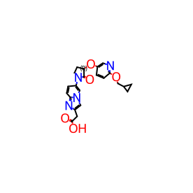 O=C(O)Cc1cn2cc(N3CC[C@@H](Oc4ccc(OCC5CC5)nc4)C3=O)ccc2n1